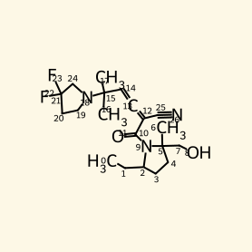 CCC1CCC(C)(CO)N1C(=O)C(=C=CC(C)(C)N1CCC(F)(F)C1)C#N